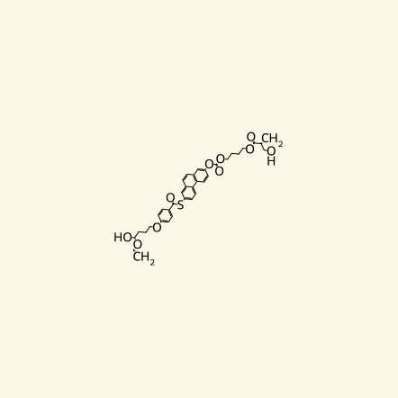 C=COC(O)CCCOc1ccc(C(=O)Sc2ccc3c(ccc4cc(OC(=O)OCCCCOC(=O)C(=C)CO)ccc43)c2)cc1